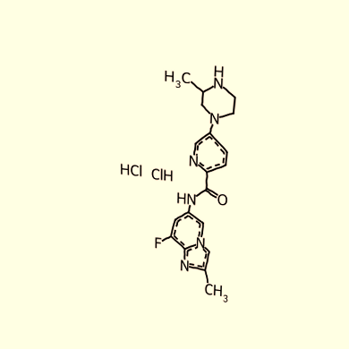 Cc1cn2cc(NC(=O)c3ccc(N4CCNC(C)C4)cn3)cc(F)c2n1.Cl.Cl